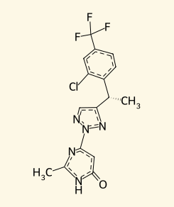 Cc1nc(-n2ncc([C@@H](C)c3ccc(C(F)(F)F)cc3Cl)n2)cc(=O)[nH]1